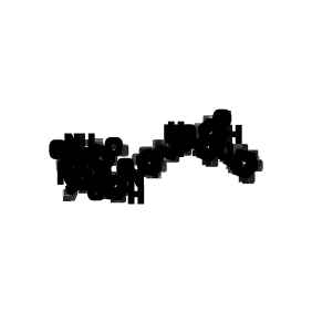 COc1cccc(Nc2c(C(N)=O)cnc3c(C)cc(S(=O)(=O)c4cccc(C(=O)Nc5ccc(CCNCC(O)c6ccc(OCc7ccccc7)c7[nH]c(=O)ccc67)cc5)c4)cc23)c1